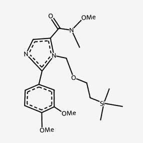 COc1ccc(-c2ncc(C(=O)N(C)OC)n2COCC[Si](C)(C)C)cc1OC